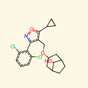 OC1C2CCC1CC(OCc1c(-c3c(Cl)cccc3Cl)noc1C1CC1)C2